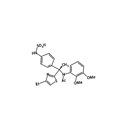 CCc1csc([C@](C)(c2ccc(NS(=O)(=O)O)cc2)N(C(C)=O)c2cccc(OC)c2OC)n1